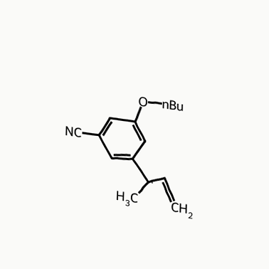 C=C[C](C)c1cc(C#N)cc(OCCCC)c1